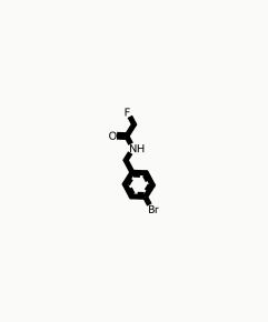 O=C(CF)NCc1ccc(Br)cc1